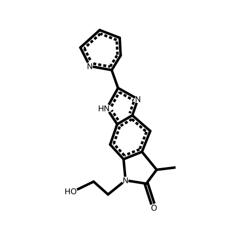 CC1C(=O)N(CCO)c2cc3[nH]c(-c4ccccn4)nc3cc21